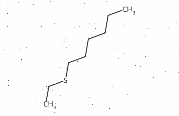 C[CH]SCCCCCC